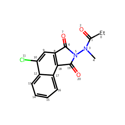 CCC(=O)N(C)N1C(=O)c2cc(Cl)c3ccccc3c2C1=O